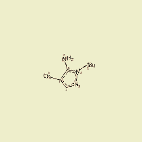 [C-]#[N+]c1cnn(C(C)(C)C)c1N